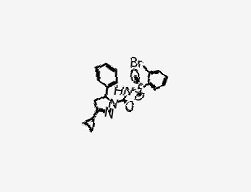 O=C(NS(=O)(=O)c1ccccc1Br)N1N=C(C2CC2)CC1c1ccccc1